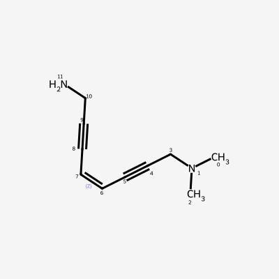 CN(C)CC#C/C=C\C#CCN